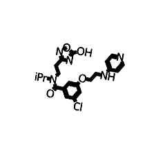 CC(C)N(CCc1noc(O)n1)C(=O)c1cc(Cl)cc(OCCNc2ccncc2)c1